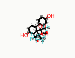 OC1=CC=C(c2ccc(O)cc2)C(C(O)(C(F)(F)F)C(F)(F)F)(C(O)(C(F)(F)F)C(F)(F)F)C1